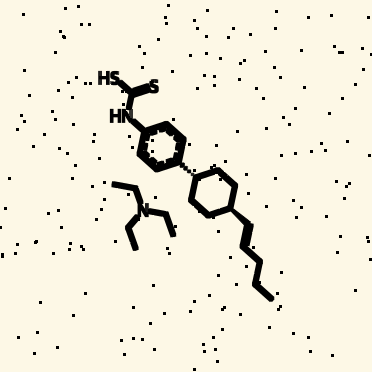 CCCC=C[C@H]1CC[C@H](c2ccc(NC(=S)S)cc2)CC1.CCN(CC)CC